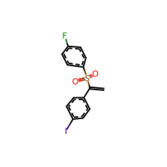 C=C(c1ccc(I)cc1)S(=O)(=O)c1ccc(F)cc1